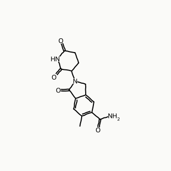 Cc1cc2c(cc1C(N)=O)CN(C1CCC(=O)NC1=O)C2=O